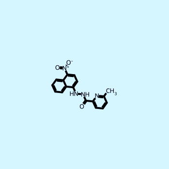 Cc1cccc(C(=O)NNc2ccc([N+](=O)[O-])c3ccccc23)n1